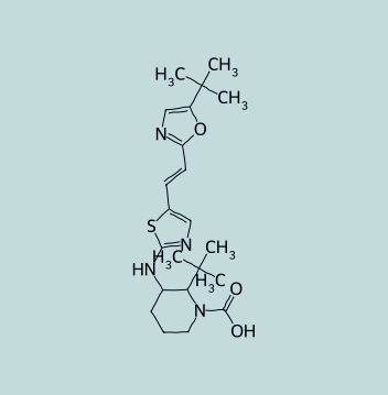 CC(C)(C)c1cnc(C=Cc2cnc(NC3CCCN(C(=O)O)C3C(C)(C)C)s2)o1